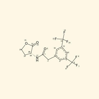 O=C(Cc1cc(C(F)(F)F)cc(C(F)(F)F)c1)N[C@@H]1CCOC1=O